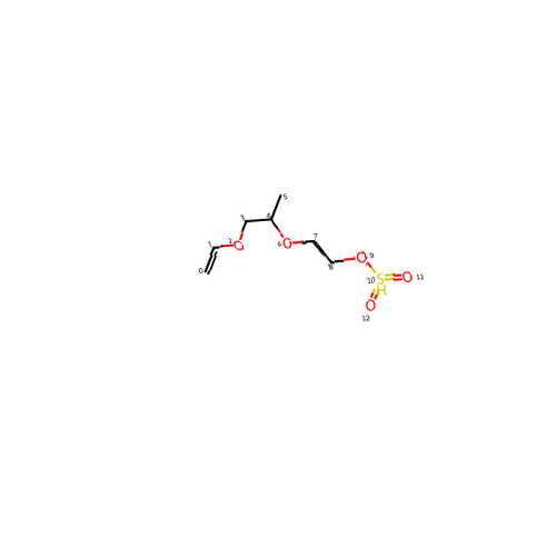 C=COCC(C)OCCO[SH](=O)=O